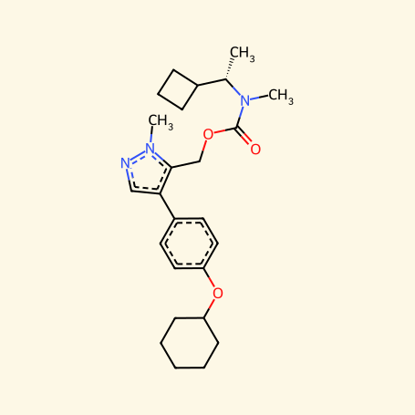 C[C@@H](C1CCC1)N(C)C(=O)OCc1c(-c2ccc(OC3CCCCC3)cc2)cnn1C